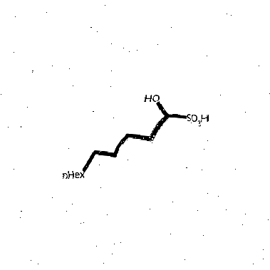 CCCCCCCCCCC(O)S(=O)(=O)O